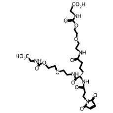 O=C(O)CNC(=O)OCCOCCNC(=O)CCC[C@H](NC(=O)CCN1C(=O)C=CC1=O)C(=O)NCCOCCOC(=O)NCC(=O)O